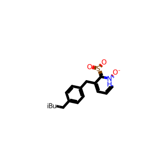 CCC(C)Cc1ccc(CC2=CC=C[NH+]([O-])C2=S(=O)=O)cc1